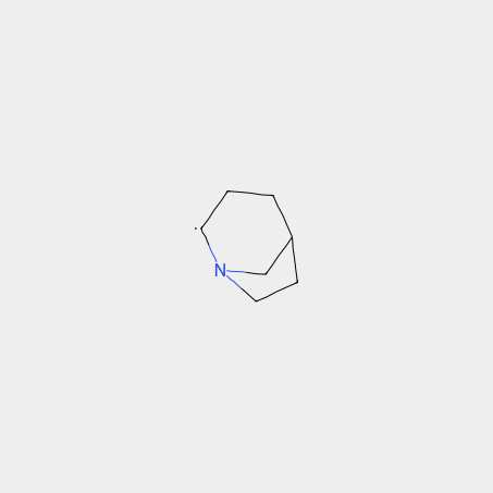 [CH]1CCC2CCN1C2